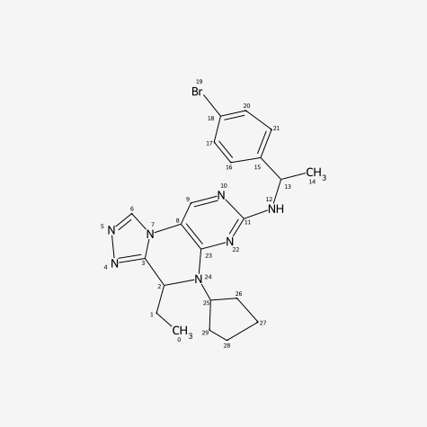 CCC1c2nncn2-c2cnc(NC(C)c3ccc(Br)cc3)nc2N1C1CCCC1